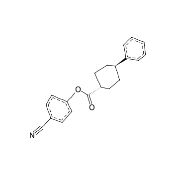 N#Cc1ccc(OC(=O)[C@H]2CC[C@H](c3ccccc3)CC2)cc1